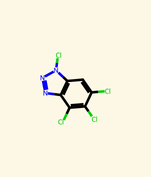 Clc1cc2c(nnn2Cl)c(Cl)c1Cl